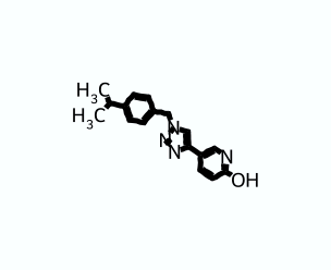 CC(C)c1ccc(Cn2cc(-c3ccc(O)nc3)nn2)cc1